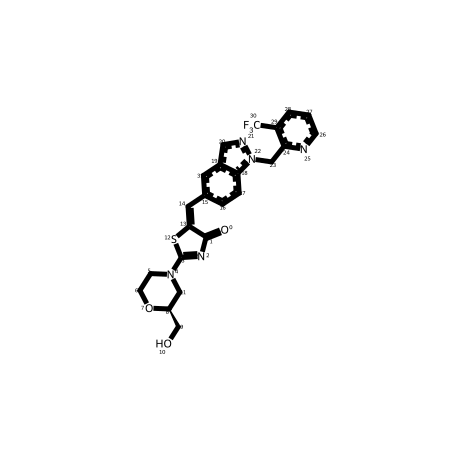 O=C1N=C(N2CCO[C@H](CO)C2)S/C1=C/c1ccc2c(cnn2Cc2ncccc2C(F)(F)F)c1